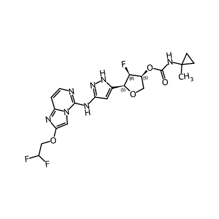 CC1(NC(=O)O[C@H]2CO[C@@H](c3cc(Nc4nccc5nc(OCC(F)F)cn45)n[nH]3)[C@H]2F)CC1